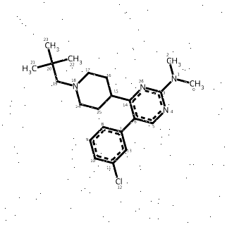 CN(C)c1ncc(-c2cccc(Cl)c2)c(C2CCN(CC(C)(C)C)CC2)n1